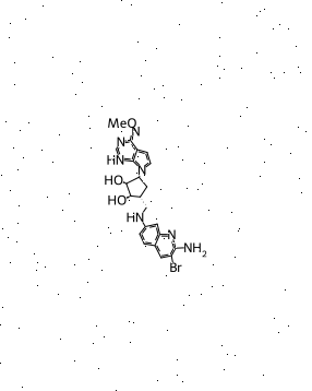 CO/N=c1\nc[nH]c2c1ccn2[C@@H]1C[C@H](CNc2ccc3cc(Br)c(N)nc3c2)[C@@H](O)[C@H]1O